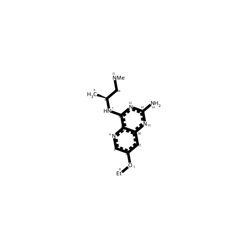 CCOc1cnc2c(N[C@@H](C)CNC)nc(N)nc2c1